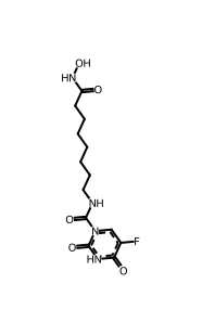 O=C(CCCCCCCNC(=O)n1cc(F)c(=O)[nH]c1=O)NO